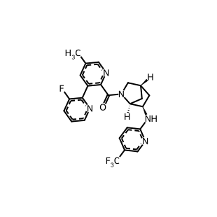 Cc1cnc(C(=O)N2C[C@@H]3C[C@@H](Nc4ccc(C(F)(F)F)cn4)[C@@H]2C3)c(-c2ncccc2F)c1